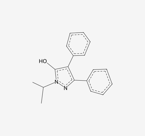 CC(C)n1nc(-c2ccccc2)c(-c2ccccc2)c1O